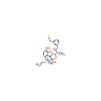 C=CCN1CC[C@]23c4c5ccc(O)c4OC2C(N(C)C(=O)Cc2cccc(N=C=S)c2)CC[C@@]3(O)[C@H]1C5